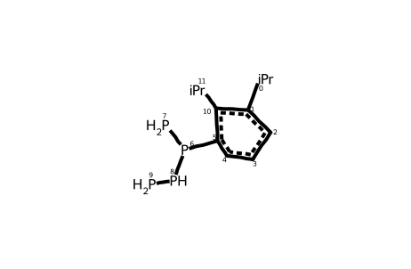 CC(C)c1cccc(P(P)PP)c1C(C)C